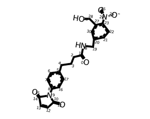 O=C(CCCc1ccc(N2C(=O)C=CC2=O)cc1)NCc1ccc([N+](=O)[O-])c(CO)c1